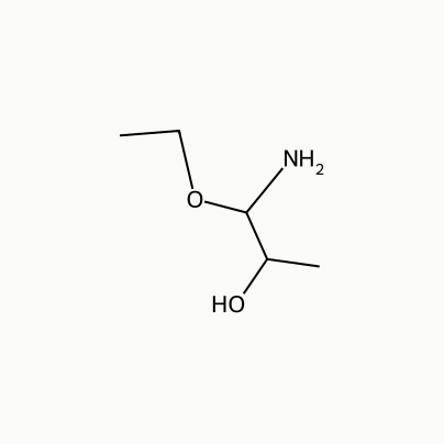 CCOC(N)C(C)O